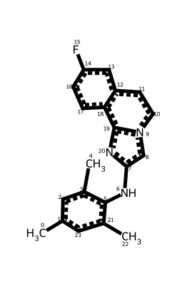 Cc1cc(C)c(Nc2cn3ccc4cc(F)ccc4c3n2)c(C)c1